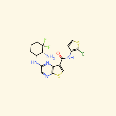 N[C@@H]1[C@H](Nc2cnc3scc(C(=O)Nc4ccsc4Cl)c3n2)CCCC1(F)F